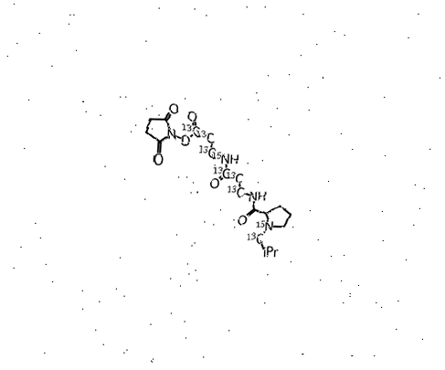 CC(C)[13CH2][15N]1CCCC1C(=O)N[13CH2][13CH2][13C](=O)[15NH][13CH2][13CH2][13C](=O)ON1C(=O)CCC1=O